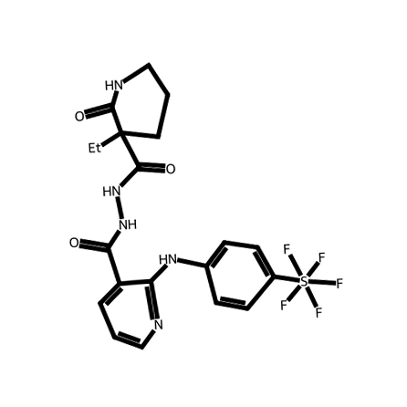 CCC1(C(=O)NNC(=O)c2cccnc2Nc2ccc(S(F)(F)(F)(F)F)cc2)CCCNC1=O